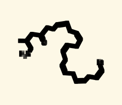 CC/C=C\C/C=C\C/C=C\C/C=C\C/C=C\C/C=C\CCC(=O)CC(C)CN